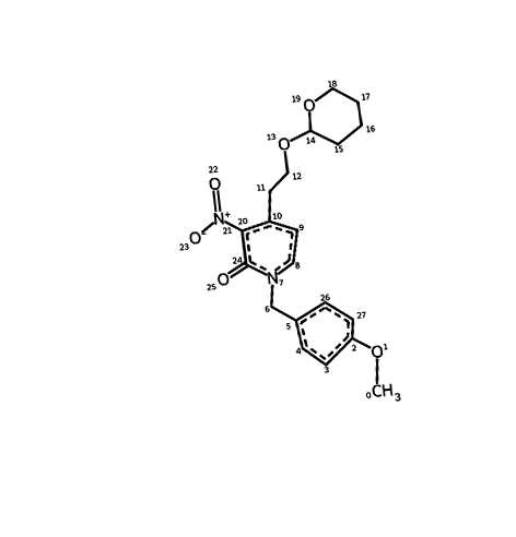 COc1ccc(Cn2ccc(CCOC3CCCCO3)c([N+](=O)[O-])c2=O)cc1